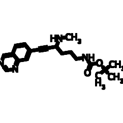 CNC(C#Cc1ccc2cncnc2c1)CCCNC(=O)OC(C)(C)C